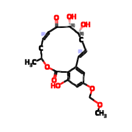 COCOc1cc(O)c2c(c1)/C=C/C[C@@H](O)[C@@H](O)C(=O)/C=C\CC(C)OC2=O